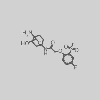 CS(=O)(=O)c1cc(F)ccc1OCC(=O)NC12CCC(N)(CC1)C(O)C2